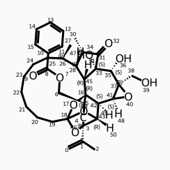 C=C(C)[C@]12C[C@@H](COC(=O)c3ccccc3)[C@@]34OC5(CCCCCCC[C@@H](C)[C@@H]6[C@H](C)C(=O)[C@@](O)([C@H](O)[C@@]7(CO)O[C@H]7[C@H]3[C@H]1O5)[C@@H]64)O2